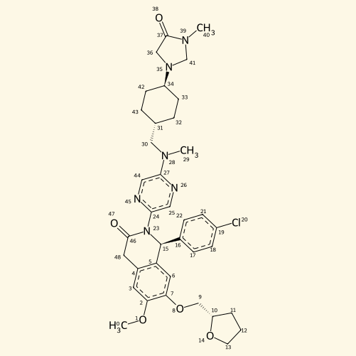 COc1cc2c(cc1OC[C@@H]1CCCO1)[C@H](c1ccc(Cl)cc1)N(c1cnc(N(C)C[C@H]3CC[C@H](N4CC(=O)N(C)C4)CC3)cn1)C(=O)C2